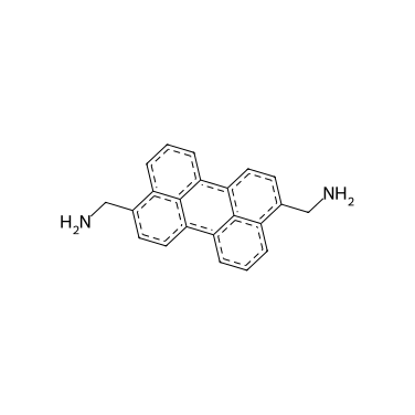 NCc1ccc2c3cccc4c(CN)ccc(c5cccc1c52)c43